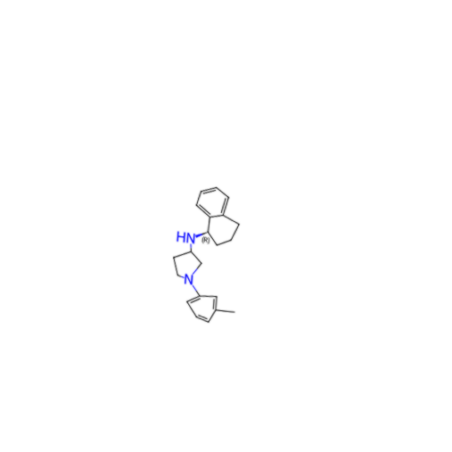 Cc1cccc(N2CCC(N[C@@H]3CCCc4ccccc43)C2)c1